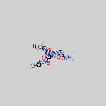 CC1(F)CN(C(=O)Cn2c(=O)c(C(=O)NCc3ccc(Cl)cc3)cc3nc(N4CCN(CC(N)=O)C4=O)cnc32)C1